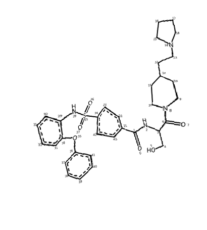 O=C(NC(CO)C(=O)N1CCC(CCN2CCCC2)CC1)c1ccc(S(=O)(=O)Nc2ccccc2Oc2ccccc2)cc1